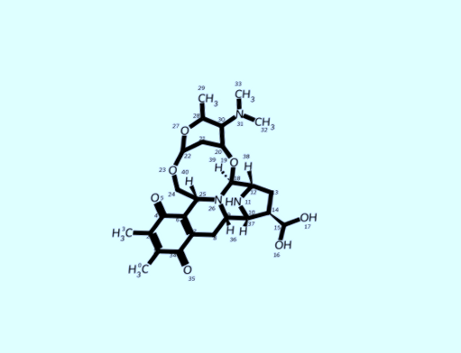 CC1=C(C)C(=O)C2=C(C[C@H]3[C@@H]4N[C@@H](C[C@H]4C(O)O)[C@@H]4OC5CC(OC[C@@H]2N34)OC(C)C5N(C)C)C1=O